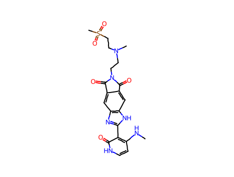 CNc1cc[nH]c(=O)c1-c1nc2cc3c(cc2[nH]1)C(=O)N(CCN(C)CCS(C)(=O)=O)C3=O